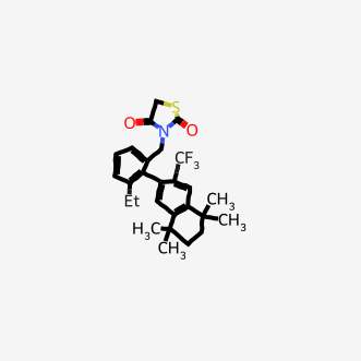 CCc1cccc(CN2C(=O)CSC2=O)c1-c1cc2c(cc1C(F)(F)F)C(C)(C)CCC2(C)C